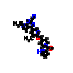 Cc1cc(-c2nc(C#N)nc3c2ccn3C)cnc1OCC1CCN(C(=O)[C@@H]2CCCN2)CC1